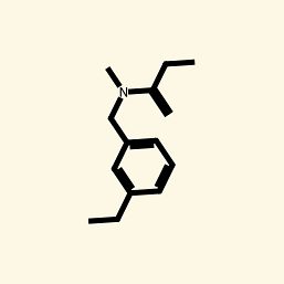 C=C(CC)N(C)Cc1cccc(CC)c1